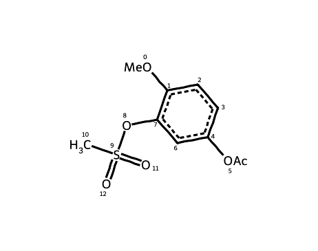 COc1ccc(OC(C)=O)cc1OS(C)(=O)=O